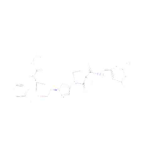 CC(C)(C)OC(=O)N[C@H]1C[C@@H](n2cc(N3CCC(O)(C(=O)NCc4cc(Cl)cc(Cl)c4)C3=O)cn2)CO[C@@H]1c1cc(F)ccc1F